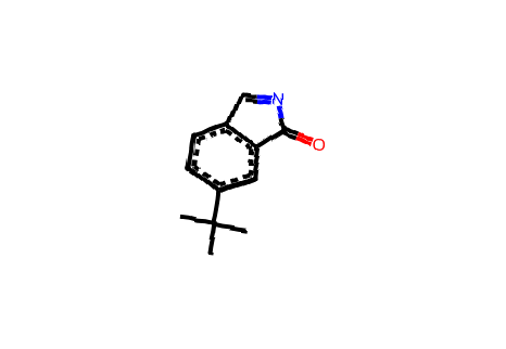 CC(C)(C)c1ccc2c(c1)C(=O)N=C2